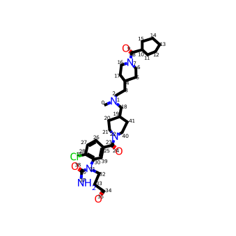 CN(CCC1CCN(C(=O)C2CCCCC2)CC1)CC1CCN(C(=O)c2ccc(Cl)c(N(CCC=O)C(N)=O)c2)CC1